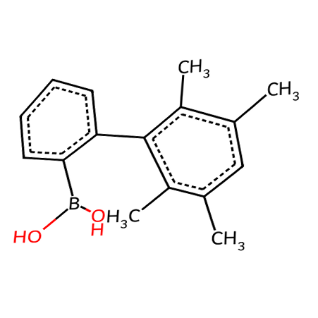 Cc1cc(C)c(C)c(-c2ccccc2B(O)O)c1C